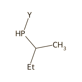 CCC(C)[PH][Y]